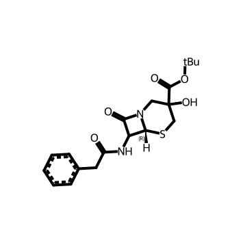 CC(C)(C)OC(=O)C1(O)CS[C@@H]2C(NC(=O)Cc3ccccc3)C(=O)N2C1